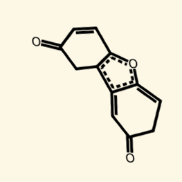 O=C1C=c2c3c(oc2=CC1)C=CC(=O)C3